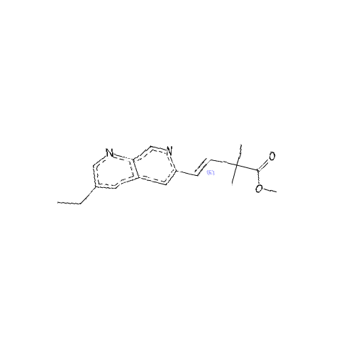 CCc1cnc2cnc(/C=C/C(C)(C)C(=O)OC)cc2c1